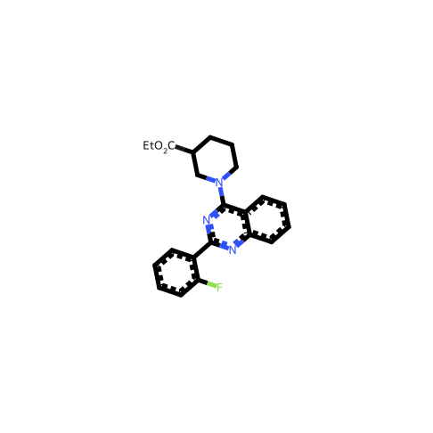 CCOC(=O)C1CCCN(c2nc(-c3ccccc3F)nc3ccccc23)C1